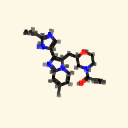 COC(=O)N1CCOC(Cc2c(-c3cnc(NC(C)=O)[nH]3)nc3cc(C)ccn23)C1